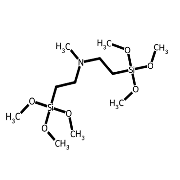 CO[Si](CCN(C)CC[Si](OC)(OC)OC)(OC)OC